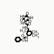 CC1(C)CC(NC(=O)Oc2ccccc2)CC(C)(CNC(=O)Nn2c(=O)[nH]c(=O)[nH]c2=O)C1